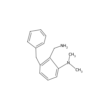 CN(C)c1cccc(Cc2ccccc2)c1CN